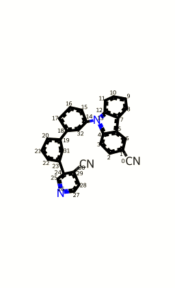 N#Cc1ccc2c(c1)c1ccccc1n2-c1cccc(-c2cccc(-c3cnccc3C#N)c2)c1